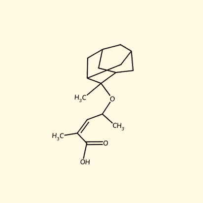 CC(=CC(C)OC1(C)C2CC3CC(C2)CC1C3)C(=O)O